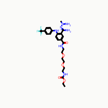 CCOC(=O)NCCOCCOCCNC(=O)c1ccc(Nc2ccc(C(F)(F)F)cc2)c(/C(N)=N/N(C)N)c1